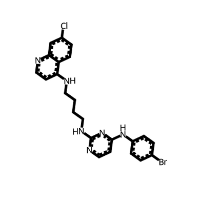 Clc1ccc2c(NCCCCNc3nccc(Nc4ccc(Br)cc4)n3)ccnc2c1